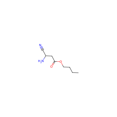 CCCCOC(=O)CC(N)C#N